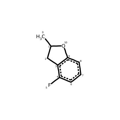 CC1Cc2c(F)cccc2O1